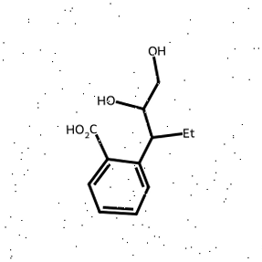 CCC(c1ccccc1C(=O)O)C(O)CO